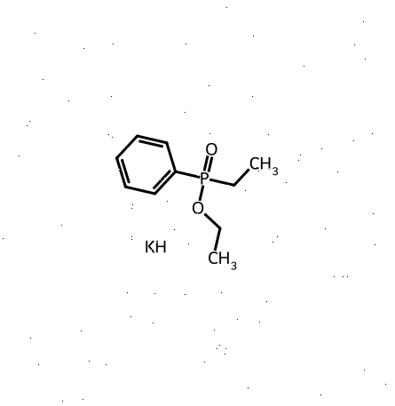 CCOP(=O)(CC)c1ccccc1.[KH]